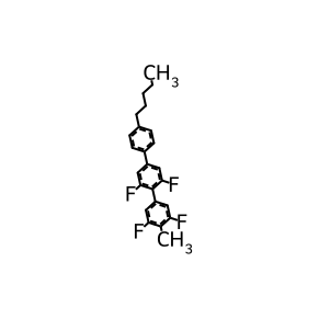 CCCCCc1ccc(-c2cc(F)c(-c3cc(F)c(C)c(F)c3)c(F)c2)cc1